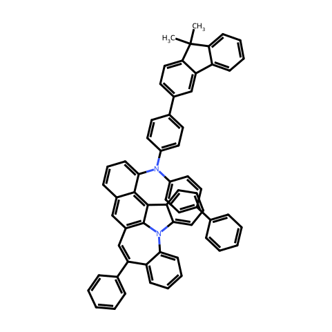 CC1(C)c2ccccc2-c2cc(-c3ccc(N(c4ccc(-c5ccccc5)cc4)c4cccc5cc6c7c(c8ccccc8n7-c7ccccc7C(c7ccccc7)=C6)c45)cc3)ccc21